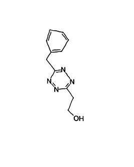 OCCc1nnc(Cc2ccccc2)nn1